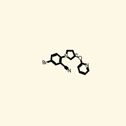 N#Cc1cc(Br)ccc1N1CC[C@@H](Oc2ccccn2)C1